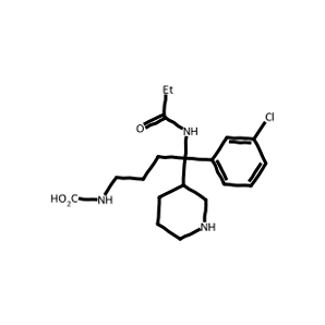 CCC(=O)NC(CCCNC(=O)O)(c1cccc(Cl)c1)C1CCCNC1